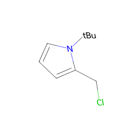 CC(C)(C)n1cccc1CCl